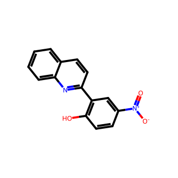 O=[N+]([O-])c1ccc(O)c(-c2ccc3ccccc3n2)c1